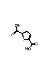 O=C(O)C1=CCC(C(=O)O)S1